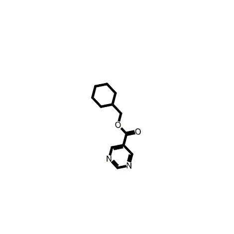 O=C(OCC1CCCCC1)c1cncnc1